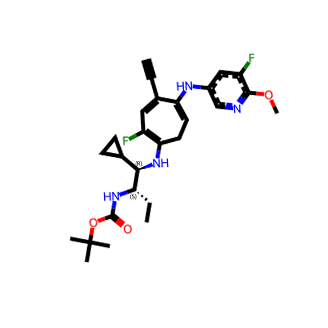 C#CC1=CC(F)=C(N[C@H](C2CC2)[C@H](CC)NC(=O)OC(C)(C)C)CC=C1Nc1cnc(OC)c(F)c1